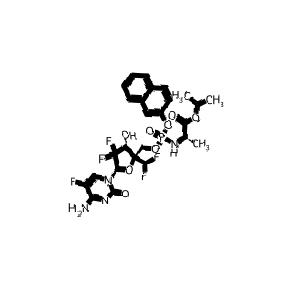 CC(C)OC(=O)[C@H](C)NP(=O)(OC[C@@]1(C(F)F)O[C@@H](n2cc(F)c(N)nc2=O)C(F)(F)[C@@H]1O)Oc1ccc2ccccc2c1